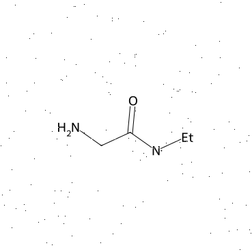 CC[N]C(=O)CN